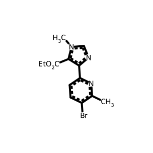 CCOC(=O)c1c(-c2ccc(Br)c(C)n2)ncn1C